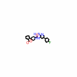 Nc1ncc(-c2ccc(F)cc2)cc1NC(=O)C1CCC2(CC1)OC(=O)c1ccccc12